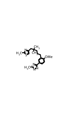 COc1ccc(-c2nnn(C)n2)cc1CCCC(C)(C)Cc1csc(C)n1